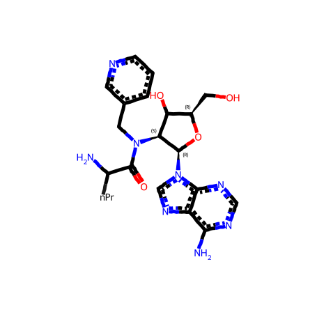 CCCC(N)C(=O)N(Cc1cccnc1)[C@H]1C(O)[C@@H](CO)O[C@H]1n1cnc2c(N)ncnc21